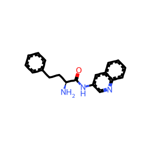 N[C@@H](CCc1ccccc1)C(=O)Nc1cnc2ccccc2c1